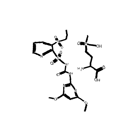 CCS(=O)(=O)c1cccnc1S(=O)(=O)NC(=O)Nc1nc(OC)cc(OC)n1.CP(=O)(O)CCC(N)C(=O)O